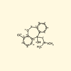 CN(C)CC1(O)c2ccccc2COc2c(Cl)cccc21